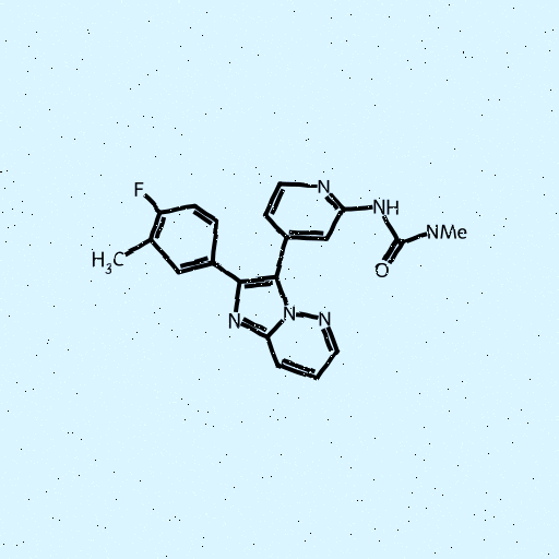 CNC(=O)Nc1cc(-c2c(-c3ccc(F)c(C)c3)nc3cccnn23)ccn1